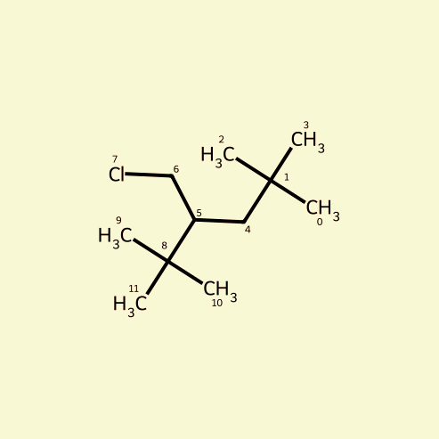 CC(C)(C)CC(CCl)C(C)(C)C